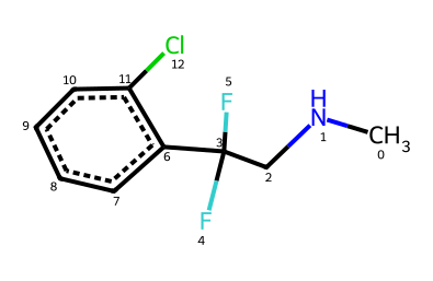 CNCC(F)(F)c1ccccc1Cl